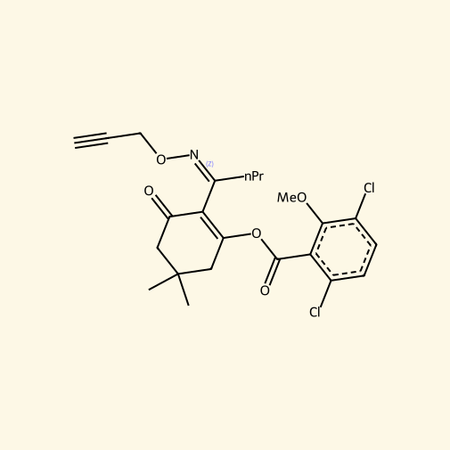 C#CCO/N=C(/CCC)C1=C(OC(=O)c2c(Cl)ccc(Cl)c2OC)CC(C)(C)CC1=O